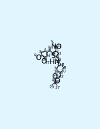 COc1ccc(-c2cn(C)c(=O)c3cc(CNC4CCCC(CC(=O)OC(C)(C)C)CC4)sc23)cc1OC